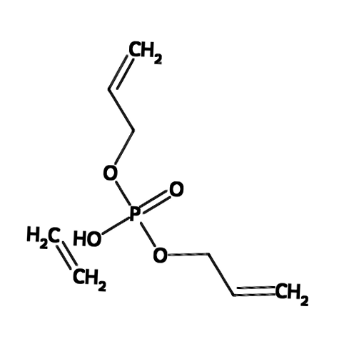 C=C.C=CCOP(=O)(O)OCC=C